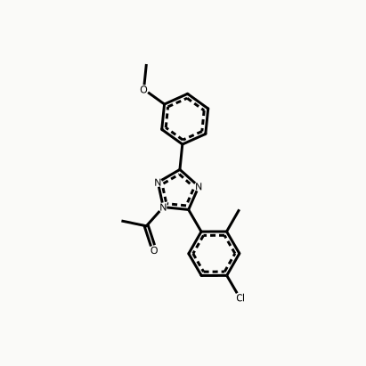 COc1cccc(-c2nc(-c3ccc(Cl)cc3C)n(C(C)=O)n2)c1